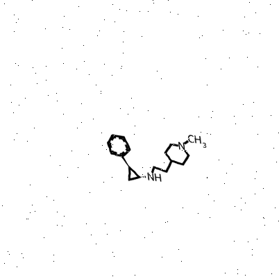 CN1CCC(CCN[C@@H]2C[C@H]2c2ccccc2)CC1